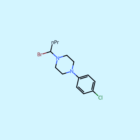 CCCC(Br)N1CCN(c2ccc(Cl)cc2)CC1